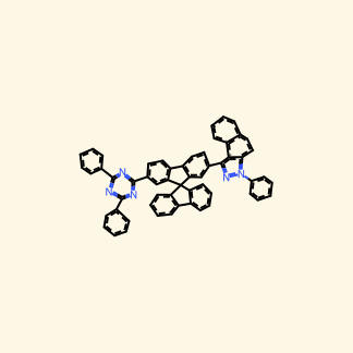 c1ccc(-c2nc(-c3ccccc3)nc(-c3ccc4c(c3)C3(c5ccccc5-c5ccccc53)c3cc(-c5nn(-c6ccccc6)c6ccc7ccccc7c56)ccc3-4)n2)cc1